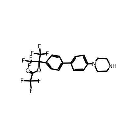 O=C(OC(c1ccc(-c2ccc(N3CCNCC3)cc2)cc1)(C(F)(F)F)C(F)(F)F)C(F)(F)F